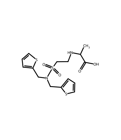 CC(NCCS(=O)(=O)N(Cc1cccs1)Cc1cccs1)C(=O)O